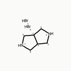 Br.Br.C1NCC2CNCC12